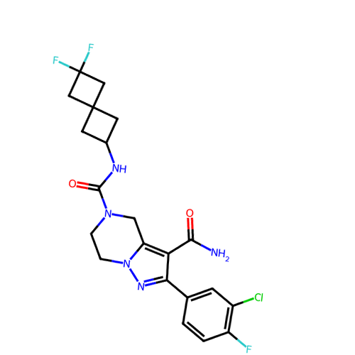 NC(=O)c1c(-c2ccc(F)c(Cl)c2)nn2c1CN(C(=O)NC1CC3(C1)CC(F)(F)C3)CC2